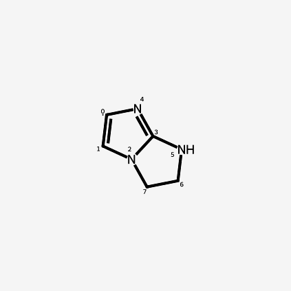 [c]1cn2c(n1)NCC2